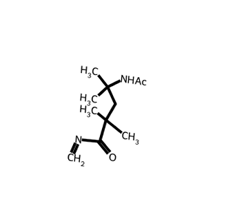 C=NC(=O)C(C)(C)CC(C)(C)NC(C)=O